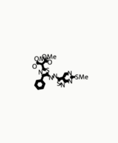 COC(=O)C(C(=O)OC)c1nc(-c2ccccc2)c(/N=N/c2snc3nc(SC)ncc23)s1